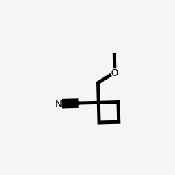 COCC1(C#N)CCC1